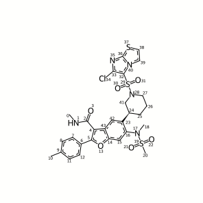 CNC(=O)c1c(-c2ccc(C)cc2)oc2cc(N(C)S(C)(=O)=O)c([C@@H]3CCCN(S(=O)(=O)c4c(Cl)nc5sccn45)C3)cc12